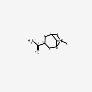 CN1CC2CC(C(N)=O)CC1C2